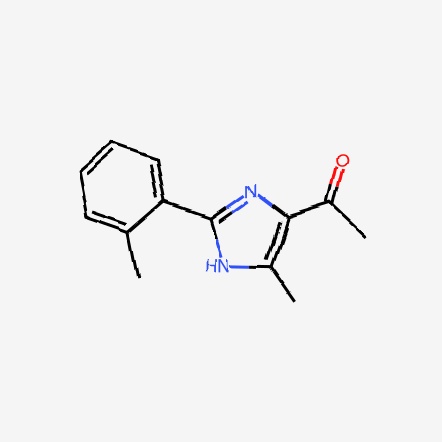 CC(=O)c1nc(-c2ccccc2C)[nH]c1C